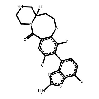 Nc1nc2c(-c3c(Cl)cc4c(c3F)OCC[C@H]3CNCCN3C4=O)ccc(F)c2s1